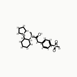 CN(C(=O)Cc1ccc(S(C)(=O)=O)cc1)[C@H]1CCCCC1N1CCCC1